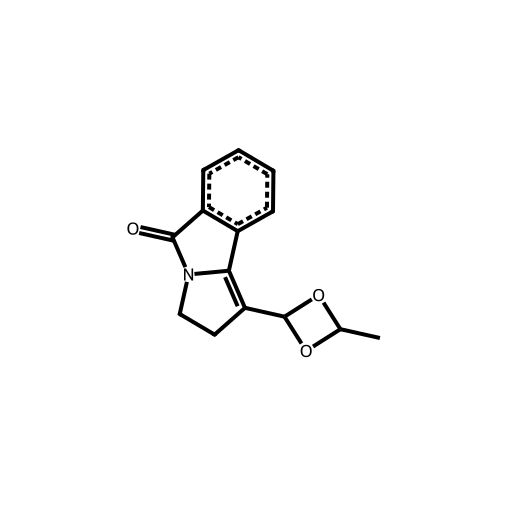 CC1OC(C2=C3c4ccccc4C(=O)N3CC2)O1